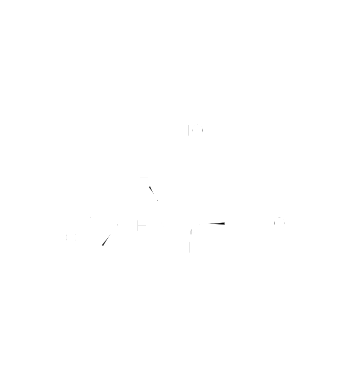 C[C@]12CCC(=O)C=C1C(CO)C[C@@H]1[C@@H]2CC[C@]2(C)C(=O)CC[C@@H]12